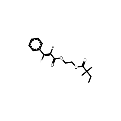 CCC(C)(C)C(=O)OCCOC(=O)/C(F)=C(\F)c1ccccc1